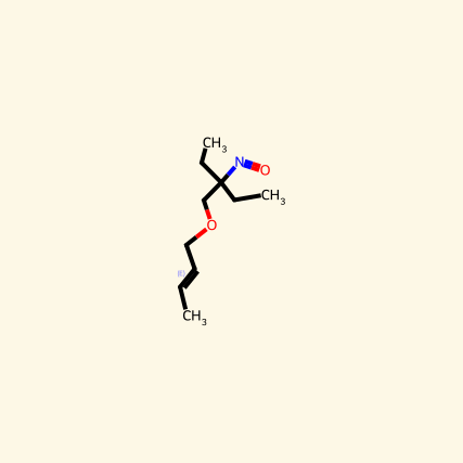 C/C=C/COCC(CC)(CC)N=O